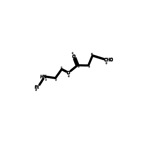 CCNCCOC(=O)CCC=O